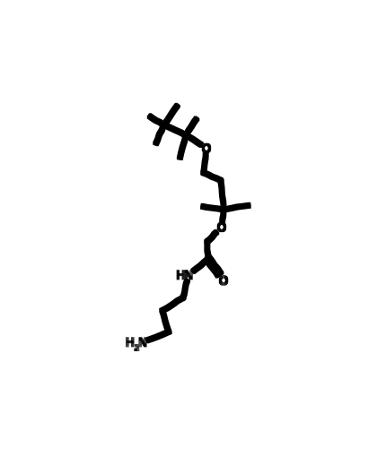 CC(C)(CCOC(C)(C)C(C)(C)C)OCC(=O)NCCCN